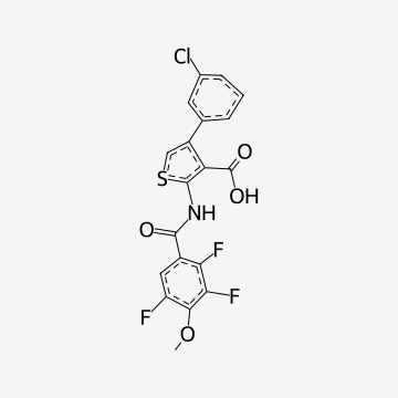 COc1c(F)cc(C(=O)Nc2scc(-c3cccc(Cl)c3)c2C(=O)O)c(F)c1F